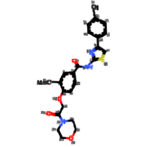 COc1cc(C(=O)Nc2nc(-c3ccc(C#N)cc3)cs2)ccc1OCC(=O)N1CCOCC1